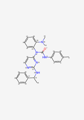 Cc1ccc(NC(=O)N(c2ccnc(NC(C)c3ccccc3)n2)c2ccccc2N(C)C)cc1